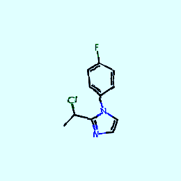 CC(Cl)c1nccn1-c1ccc(F)cc1